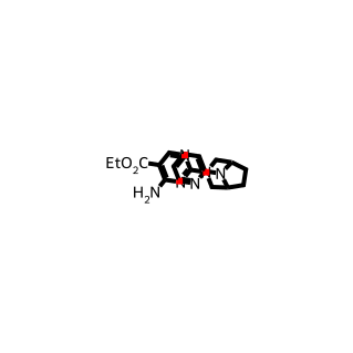 CCOC(=O)c1cnc(N2CC3CCC(C2)N3c2ccccn2)nc1N